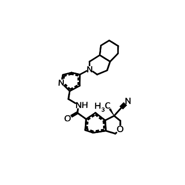 C[C@@]1(C#N)COCc2ccc(C(=O)NCc3cc(N4CCC5CCCCC5C4)ccn3)cc21